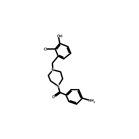 Nc1ccc(C(=O)N2CCN(Cc3cccc(O)c3Cl)CC2)cc1